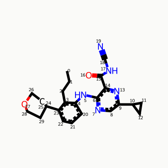 CCCc1c(Nc2ncc(C3CC3)nc2C(=O)NC#N)cccc1C1CCOCC1